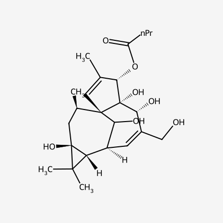 CCCC(=O)O[C@H]1C(C)=C[C@]23C(O)[C@@H](C=C(CO)[C@@H](O)[C@]12O)[C@@H]1C(C)(C)[C@]1(O)C[C@H]3C